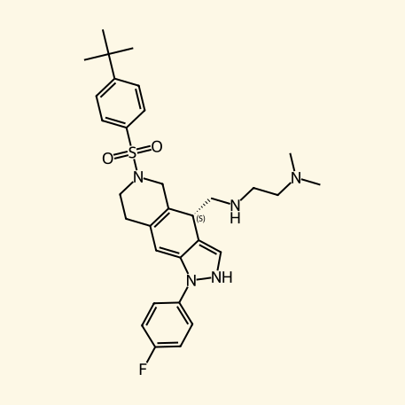 CN(C)CCNC[C@@H]1C2=CNN(c3ccc(F)cc3)C2=CC2=C1CN(S(=O)(=O)c1ccc(C(C)(C)C)cc1)CC2